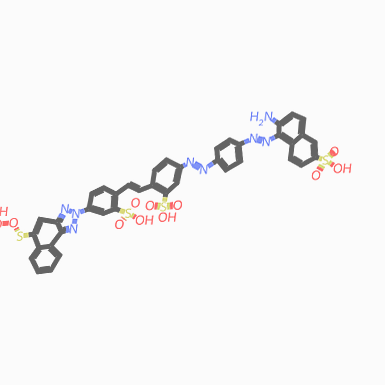 Nc1ccc2cc(S(=O)(=O)O)ccc2c1N=Nc1ccc(N=Nc2ccc(C=Cc3ccc(-n4nc5cc(SOOO)c6ccccc6c5n4)cc3S(=O)(=O)O)c(S(=O)(=O)O)c2)cc1